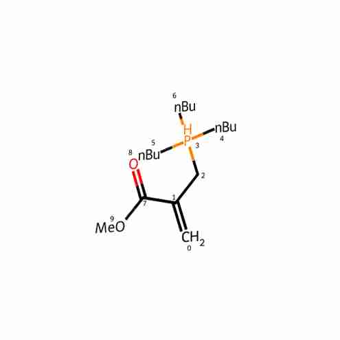 C=C(C[PH](CCCC)(CCCC)CCCC)C(=O)OC